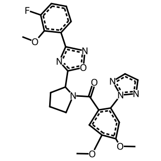 COc1cc(C(=O)N2CCCC2c2nc(-c3cccc(F)c3OC)no2)c(-n2nccn2)cc1OC